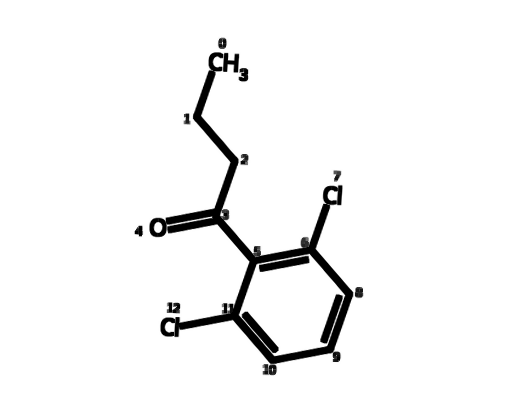 CCCC(=O)c1c(Cl)cccc1Cl